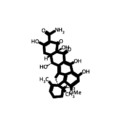 COc1cc(O)c2c(O)c3c(c4c2c1[C@]1(C4)C(C)=CCCC1(C)C)[C@H](O)[C@@H]1CC(O)=C(C(N)=O)C(=O)[C@]1(O)C3=O